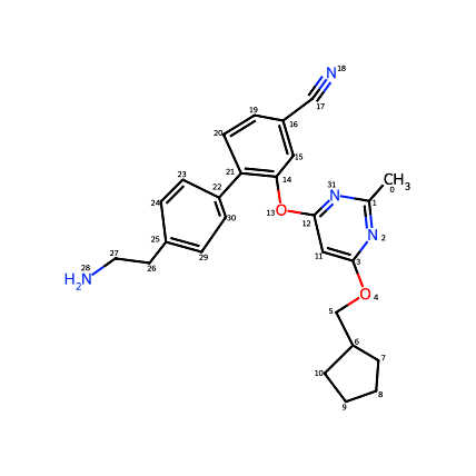 Cc1nc(OCC2CCCC2)cc(Oc2cc(C#N)ccc2-c2ccc(CCN)cc2)n1